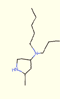 CCCCCN(CCC)C1CNC(C)C1